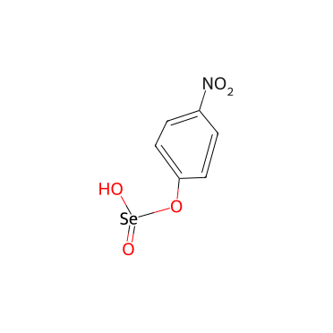 O=[N+]([O-])c1ccc(O[Se](=O)O)cc1